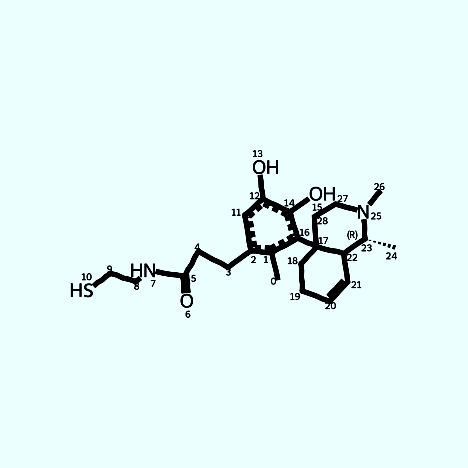 Cc1c(CCC(=O)NCCS)cc(O)c(O)c1C12CCC=CC1[C@@H](C)N(C)CC2